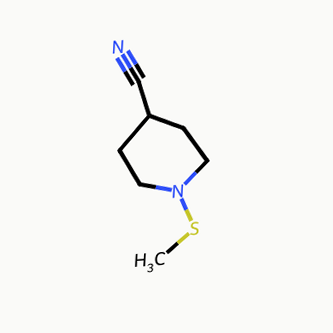 CSN1CCC(C#N)CC1